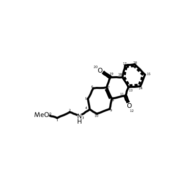 COCCNC1CCC2=C(CC1)C(=O)c1ccccc1C2=O